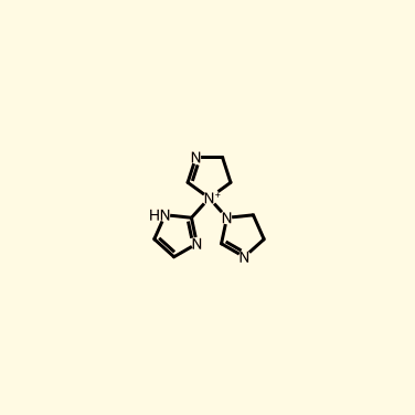 C1=NCCN1[N+]1(c2ncc[nH]2)C=NCC1